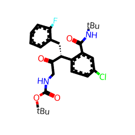 CC(C)(C)NC(=O)c1cc(Cl)ccc1[C@@H](Cc1ccccc1F)C(=O)CNC(=O)OC(C)(C)C